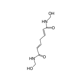 O=C(C=CCC=CC(=O)NCO)NCO